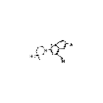 CC1(O)CCCN(c2cc(C#N)c3cc(Br)ccc3n2)C1